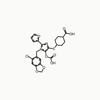 O=C(O)Oc1c(SC2CCC(C(=O)O)CC2)nc(-c2ccco2)n1Cc1cc2c(cc1Cl)OCO2